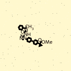 COC(=O)C1(c2ccc(-c3ccc(-n4cnnc4NC(=O)O[C@H](C)c4ccccc4)cc3)cc2)CC1